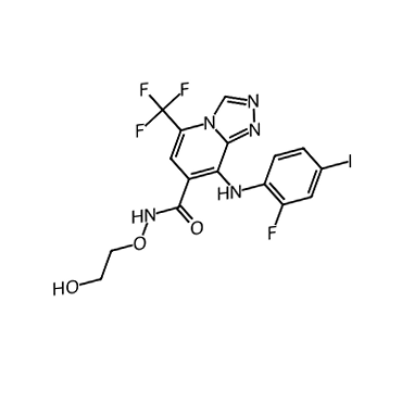 O=C(NOCCO)c1cc(C(F)(F)F)n2cnnc2c1Nc1ccc(I)cc1F